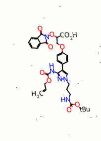 C=CCOC(=O)Nc1nn(CCCNC(=O)OC(C)(C)C)cc1-c1ccc(OCC(ON2C(=O)c3ccccc3C2=O)C(=O)O)cc1